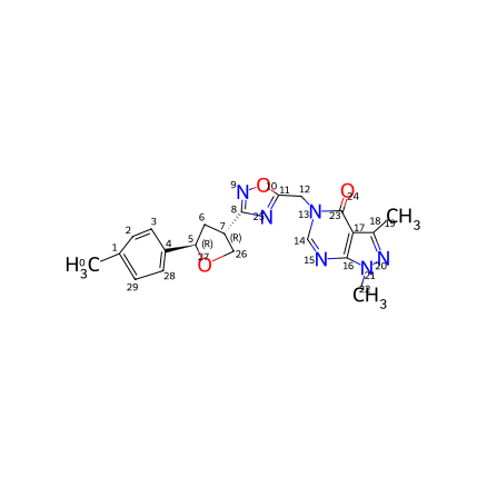 Cc1ccc([C@H]2C[C@H](c3noc(Cn4cnc5c(c(C)nn5C)c4=O)n3)CO2)cc1